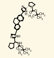 CC(C)(C)OC(=O)NC(c1ncc(-c2ccc3c(c2)CCc2cc(-c4cnc([C@@H]5CCCN5C(=O)OC(C)(C)C)[nH]4)ccc2-3)[nH]1)C1CCCC1